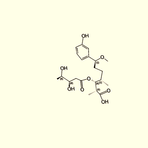 CO[C@@H](CC[C@H](C)[C@@H](OC(=O)C[C@@H](O)[C@@H](C)O)[C@@H](C)C(=O)O)c1cccc(O)c1